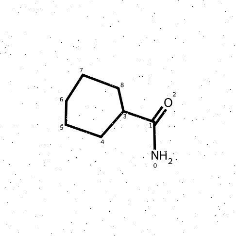 NC(=O)C1C[CH]CCC1